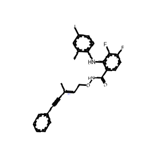 C/C(C#Cc1ccccc1)=C\CONC(=O)c1ccc(F)c(F)c1Nc1ccc(I)cc1C